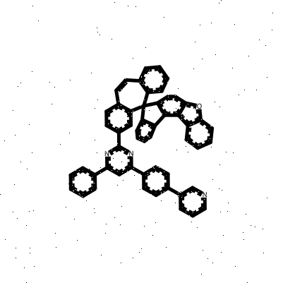 C1=Cc2ccc(-c3nc(-c4ccccc4)cc(-c4ccc(-c5cccnc5)cc4)n3)cc2C2(c3ccccc31)c1ccccc1-c1c2ccc2oc3ccccc3c12